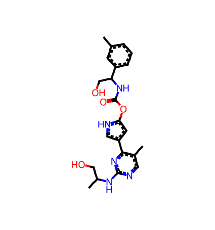 Cc1cccc(C(CO)NC(=O)Oc2cc(-c3nc(NC(C)CO)ncc3C)c[nH]2)c1